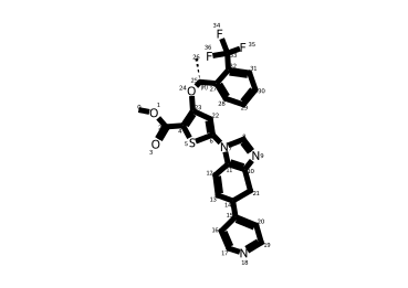 COC(=O)c1sc(-n2cnc3c2C=CC(c2ccncc2)C3)cc1O[C@H](C)c1ccccc1C(F)(F)F